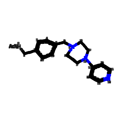 CC(=O)NCc1ccc(CN2CCN(c3ccncc3)CC2)cc1